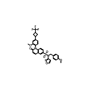 COc1ccc(CN(c2ccon2)S(=O)(=O)c2ccc3c(ccc(=O)n3-c3ccc(C4CC(C(F)(F)F)C4)cc3OC)c2)cc1